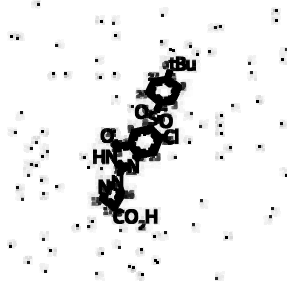 CC(C)(C)c1ccc(S(=O)(=O)c2cc3c(=O)[nH]c(-n4cc(C(=O)O)cn4)nc3cc2Cl)cc1